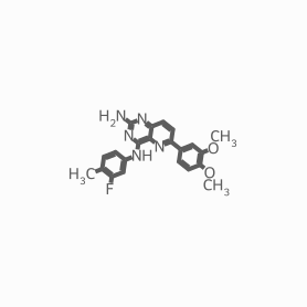 COc1ccc(-c2ccc3nc(N)nc(Nc4ccc(C)c(F)c4)c3n2)cc1OC